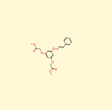 COC(=O)COc1cc(OCC=Cc2ccccc2)cc(OCC(=O)OC)c1